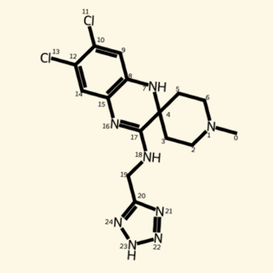 CN1CCC2(CC1)Nc1cc(Cl)c(Cl)cc1N=C2NCc1nn[nH]n1